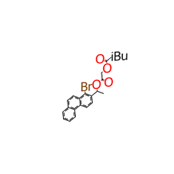 CCC(C)C(=O)OCC(=O)OC(C)c1ccc2c(ccc3ccccc32)c1Br